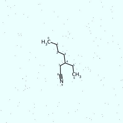 CCCCC(CC)CC#N